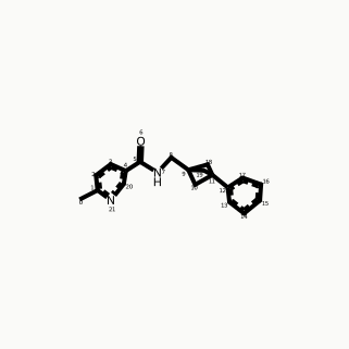 Cc1ccc(C(=O)NCC23CC(c4ccccc4)(C2)C3)cn1